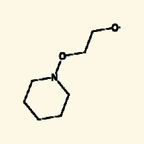 [O]CCON1CCCCC1